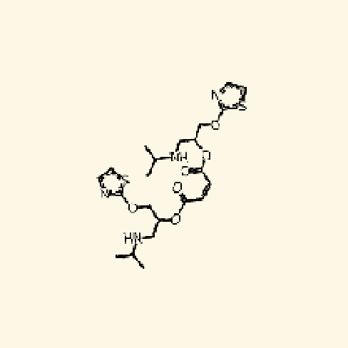 CC(C)NCC(COc1nccs1)OC(=O)/C=C\C(=O)OC(CNC(C)C)COc1nccs1